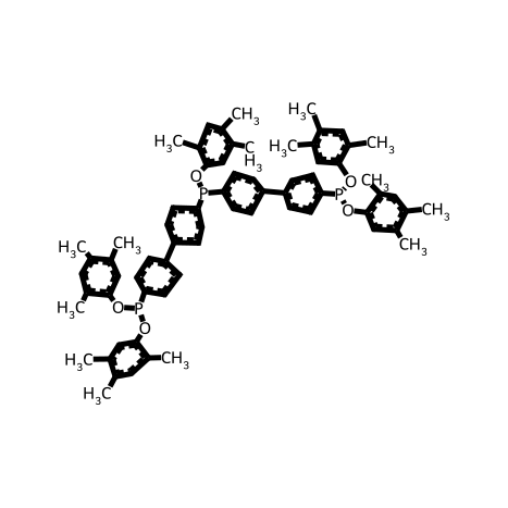 Cc1cc(C)c(OP(Oc2cc(C)c(C)cc2C)c2ccc(-c3ccc(P(Oc4cc(C)c(C)cc4C)c4ccc(-c5ccc(P(Oc6cc(C)c(C)cc6C)Oc6cc(C)c(C)cc6C)cc5)cc4)cc3)cc2)cc1C